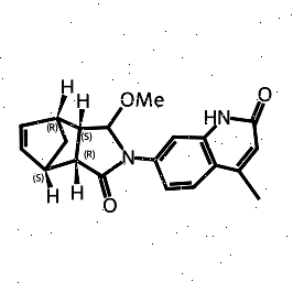 COC1[C@@H]2[C@H](C(=O)N1c1ccc3c(C)cc(=O)[nH]c3c1)[C@@H]1C=C[C@H]2C1